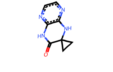 O=C1Nc2nccnc2NC12CC2